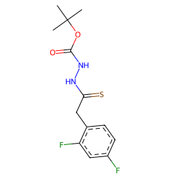 CC(C)(C)OC(=O)NNC(=S)Cc1ccc(F)cc1F